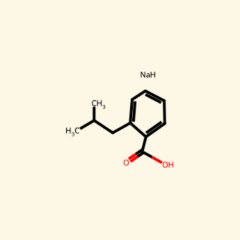 CC(C)Cc1ccccc1C(=O)O.[NaH]